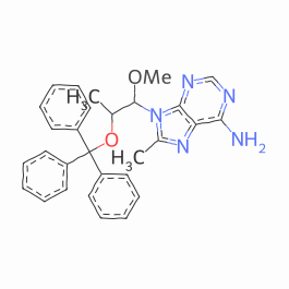 COC(C(C)OC(c1ccccc1)(c1ccccc1)c1ccccc1)n1c(C)nc2c(N)ncnc21